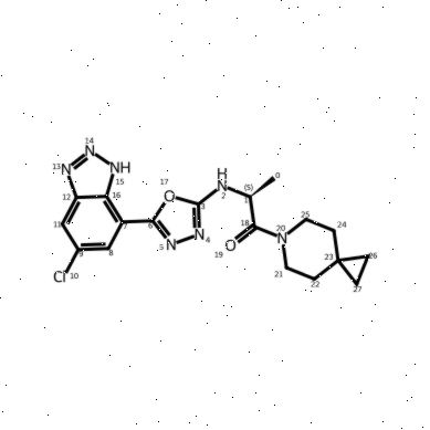 C[C@H](Nc1nnc(-c2cc(Cl)cc3nn[nH]c23)o1)C(=O)N1CCC2(CC1)CC2